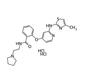 Cc1csc(Nc2cc(Oc3ccccc3C(=O)NCCN3CCCC3)ccn2)n1.Cl.Cl